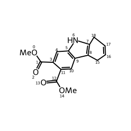 COC(=O)c1cc2[nH]c3c(c2cc1C(=O)OC)CC=CC3